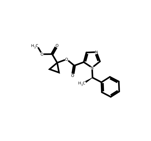 COC(=O)C1(OC(=O)c2cncn2[C@H](C)c2ccccc2)CC1